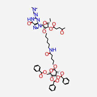 CC[C@H]1O[C@@H](n2cnc3c(=O)[nH]c(/N=C/N(C)C)nc32)[C@@H](OCCCCCCNC(=O)CCCCO[C@@H]2O[C@H](COC(=O)c3ccccc3)[C@H](OC(=O)c3ccccc3)[C@H](OC(=O)c3ccccc3)[C@H]2C)C1OC(=O)CCC(C)=O